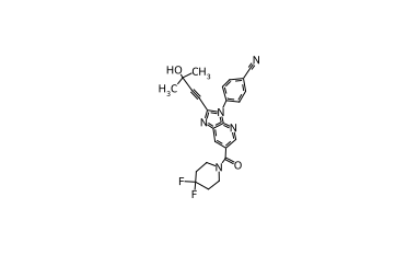 CC(C)(O)C#Cc1nc2cc(C(=O)N3CCC(F)(F)CC3)cnc2n1-c1ccc(C#N)cc1